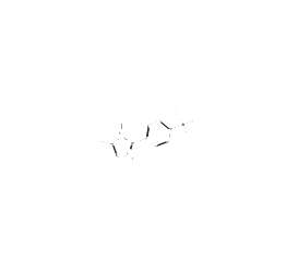 Cc1cnc(-c2ccc(C(F)(F)F)cc2)n1C